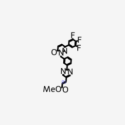 COC(=O)/C=C/c1cnc(-c2cccc(Cn3nc(-c4cc(F)c(F)c(F)c4)ccc3=O)c2)nc1